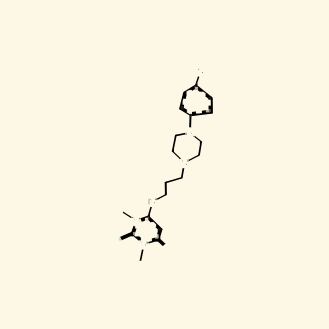 Cn1c(NCCCN2CCN(c3ccc([N+](=O)[O-])cc3)CC2)cc(=O)n(C)c1=O